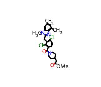 COC(=O)CC1CCN(C(=O)c2ccc(Cl)c(Cc3nc4c(C)cc(C(F)(F)F)cc4n3C)c2Cl)CC1